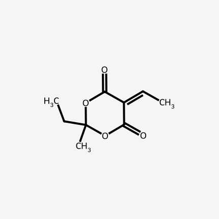 CC=C1C(=O)OC(C)(CC)OC1=O